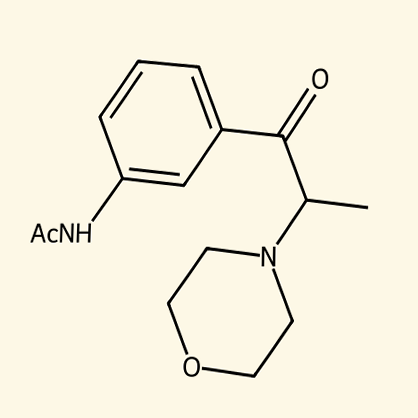 CC(=O)Nc1cccc(C(=O)C(C)N2CCOCC2)c1